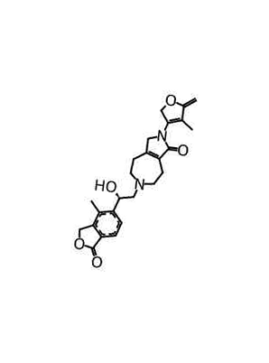 C=C1OCC(N2CC3=C(CCN(C[C@H](O)c4ccc5c(c4C)COC5=O)CC3)C2=O)=C1C